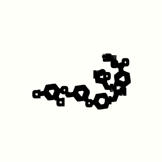 CC(C)(C)OC(=O)c1ccc2nc(CN3CCC(Oc4cccc(COc5ccc(Cl)cc5Cl)c4)CC3)n(Cc3cnco3)c2c1